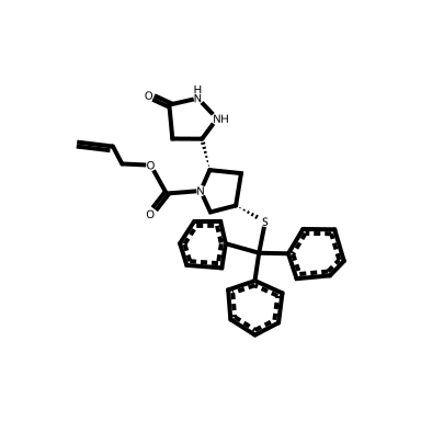 C=CCOC(=O)N1C[C@@H](SC(c2ccccc2)(c2ccccc2)c2ccccc2)C[C@H]1C1CC(=O)NN1